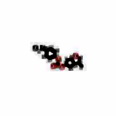 CC1COC2CC(OC(=O)Oc3ccc([N+](=O)[O-])cc3)CC12